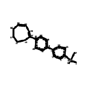 C[Si](C)(C)c1ccc(-c2ccc(/C3=C/C=C\CCCC3)cc2)cc1